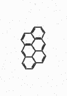 C1=CC2=Cc3ccc4cccc5c4c3C3C(=C5)C=CC(=C1)C23